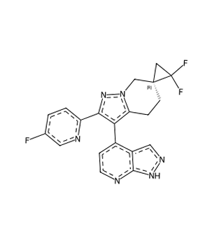 Fc1ccc(-c2nn3c(c2-c2ccnc4[nH]ncc24)CC[C@]2(C3)CC2(F)F)nc1